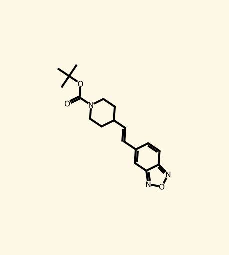 CC(C)(C)OC(=O)N1CCC(C=Cc2ccc3nonc3c2)CC1